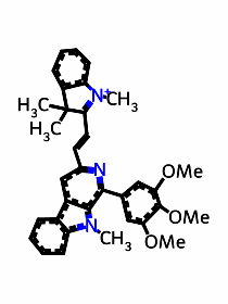 COc1cc(-c2nc(/C=C/C3=[N+](C)c4ccccc4C3(C)C)cc3c4ccccc4n(C)c23)cc(OC)c1OC